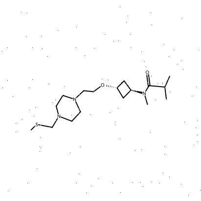 CSCN1CCN(CCO[C@H]2C[C@H](N(C)C(=O)C(C)C)C2)CC1